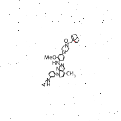 COc1cc(N2CCN(C(=O)CC34CC5CC(CC(C5)C3)C4)CC2)ccc1Nc1ncc2c(n1)N(c1cccc(NCC3CC3)c1)CC=C2C